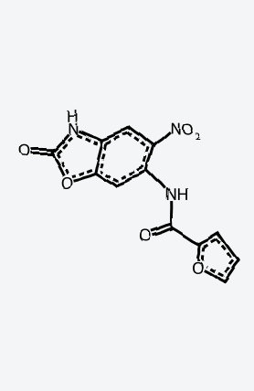 O=C(Nc1cc2oc(=O)[nH]c2cc1[N+](=O)[O-])c1ccco1